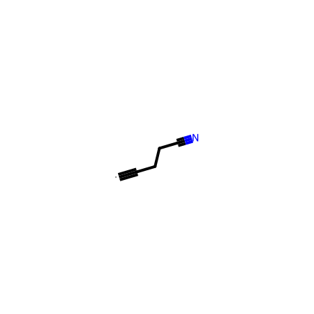 [C]#CCCC#N